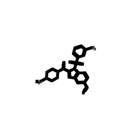 CN1CCN(C(=O)c2cc3cc(C=S)ccc3n2S(=O)(=O)c2cccc(C(F)(F)F)c2)CC1